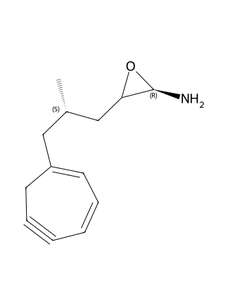 C[C@@H](CC1=CC=CC#CC1)CC1O[C@H]1N